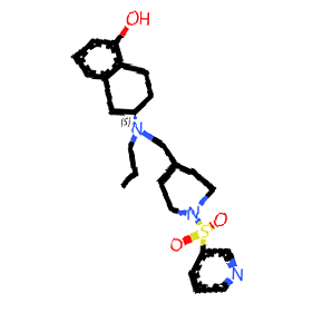 CCCN(CC1CCN(S(=O)(=O)c2cccnc2)CC1)[C@H]1CCc2c(O)cccc2C1